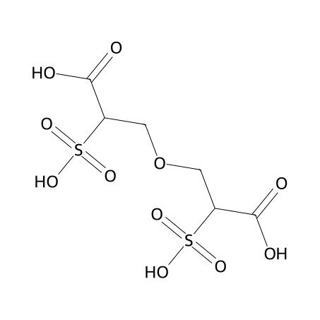 O=C(O)C(COCC(C(=O)O)S(=O)(=O)O)S(=O)(=O)O